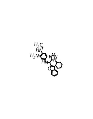 C=CNc1ccc(NC(c2cc3ccccc3o2)c2nnnn2C2CCCCC2)cc1N